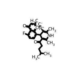 [C-]#[N+]C1=C(C)NC(C)=C(C(=O)CCC(C)C)C1c1ccc(F)c2c(=O)cc(C)oc12